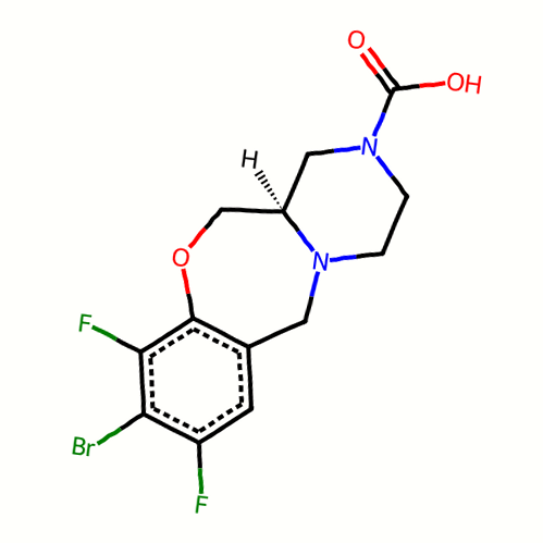 O=C(O)N1CCN2Cc3cc(F)c(Br)c(F)c3OC[C@H]2C1